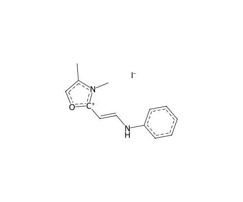 Cc1co[c+](C=CNc2ccccc2)n1C.[I-]